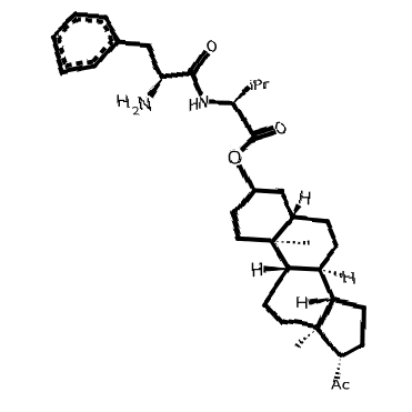 CC(=O)[C@H]1CC[C@H]2[C@@H]3CC[C@H]4CC(OC(=O)[C@@H](NC(=O)[C@@H](N)Cc5ccccc5)C(C)C)CC[C@]4(C)[C@H]3CC[C@]12C